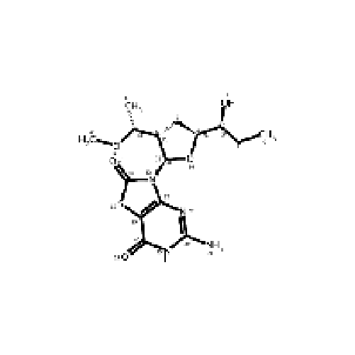 CC[C@H](O)[C@@H]1C[C@@H]([C@@H](C)OC)[C@H](n2c(=O)sc3c(=O)[nH]c(N)nc32)O1